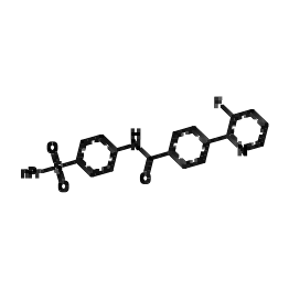 CCCS(=O)(=O)c1ccc(NC(=O)c2ccc(-c3ncccc3F)cc2)cc1